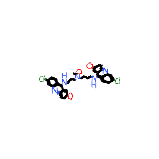 COc1ccc2nc3cc(Cl)ccc3c(NCCCCN(CCCNc3c4ccc(Cl)cc4nc4ccc(OC)cc34)C(C)=O)c2c1